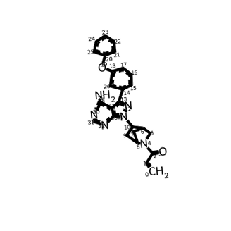 C=CC(=O)N1CC2CC1CC2n1nc(-c2cccc(Oc3ccccc3)c2)c2c(N)ncnc21